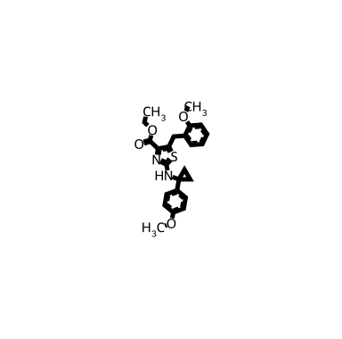 CCOC(=O)c1nc(NC2(c3ccc(OC)cc3)CC2)sc1Cc1ccccc1OC